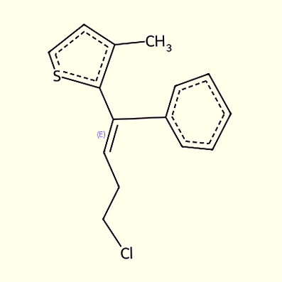 Cc1ccsc1/C(=C/CCCl)c1ccccc1